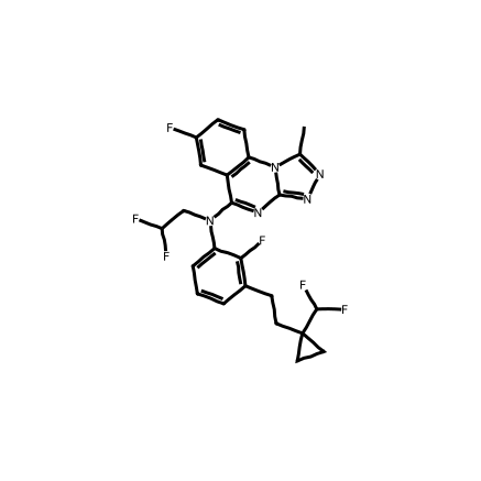 Cc1nnc2nc(N(CC(F)F)c3cccc(CCC4(C(F)F)CC4)c3F)c3cc(F)ccc3n12